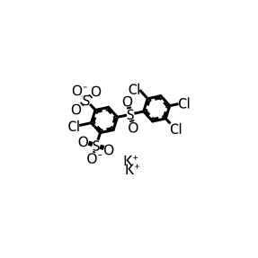 O=S(=O)([O-])c1cc(S(=O)(=O)c2cc(Cl)c(Cl)cc2Cl)cc(S(=O)(=O)[O-])c1Cl.[K+].[K+]